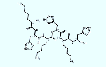 NCCCC[C@H](NC(=O)[C@H](Cc1c[nH]cn1)NC(=O)[C@H](CCCCN)NC(=O)[C@H](Cc1c[nH]cn1)NC(=O)[C@@H](N)CCCCN)C(=O)N[C@@H](Cc1c[nH]cn1)C(=O)O